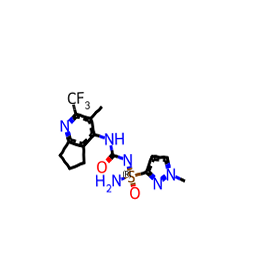 Cc1c(C(F)(F)F)nc2c(c1NC(=O)N=[S@@](N)(=O)c1ccn(C)n1)CCC2